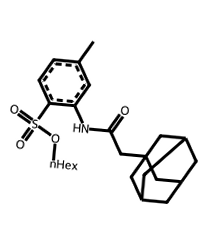 CCCCCCOS(=O)(=O)c1ccc(C)cc1NC(=O)CC12CC3CC(CC(C3)C1)C2